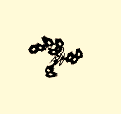 c1ccc2cc(-c3nc(-c4ccc5c(ccc6ccccc65)c4)nc(-c4ccc(-n5c6ccccc6c6cc7ccccc7cc65)c5c4oc4ccccc45)n3)ccc2c1